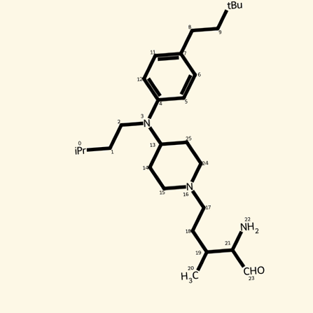 CC(C)CCN(c1ccc(CCC(C)(C)C)cc1)C1CCN(CCC(C)C(N)C=O)CC1